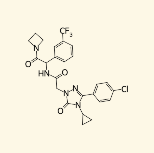 O=C(Cn1nc(-c2ccc(Cl)cc2)n(C2CC2)c1=O)NC(C(=O)N1CCC1)c1cccc(C(F)(F)F)c1